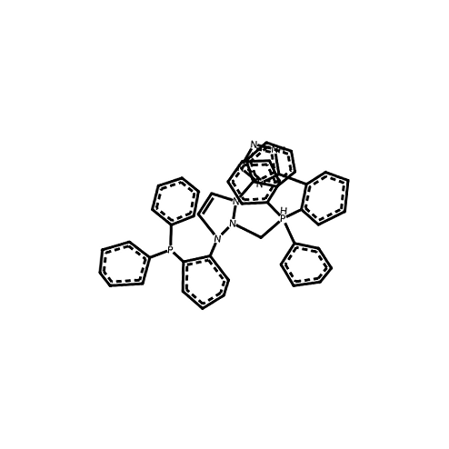 C1=CN(c2ccccc2P(c2ccccc2)c2ccccc2)N(C[PH](c2ccccc2)(c2ccccc2)c2ccccc2-c2nnn[nH]2)N1c1ccccc1